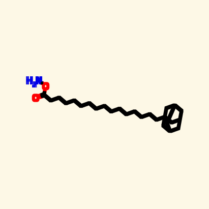 NOC(=O)CCCCCCCCCCCCCCCC12CC3CC(CC(C3)C1)C2